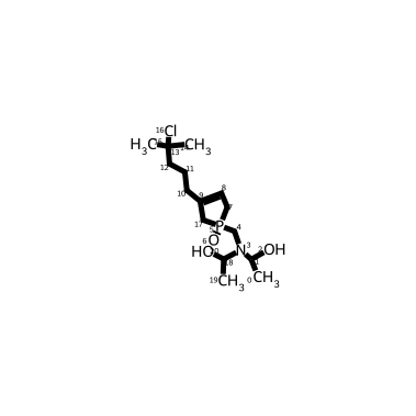 CC(O)N(CP1(=O)CC=C(CCCC(C)(C)Cl)C1)C(C)O